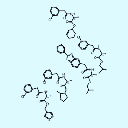 C=C(C)COC(=O)[C@H](C)NC(=O)Cc1cccc(Cl)c1.CC(C)COC(=O)[C@H](C)NC(=O)Cc1ccc2oc(-c3ccccc3)nc2c1.CC1CCCC1OC(=O)[C@H](C)NC(=O)Cc1cccc(Cl)c1.C[C@H](NC(=O)Cc1cccc(Cl)c1)C(=O)OC1C=CCCC1.C[C@H](NC(=O)Cc1cccc(Cl)c1)C(=O)OCc1ccsc1